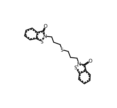 O=c1c2ccccc2sn1CCCSCCCn1sc2ccccc2c1=O